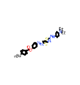 CCCCc1ccc(C(=O)Oc2ccc(N=Nc3cc4sc(N=Nc5ccc(N(CC)CC)cc5)nc4s3)cc2)cc1